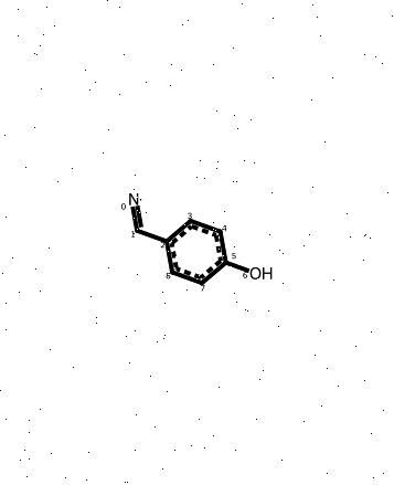 [N]=Cc1ccc(O)cc1